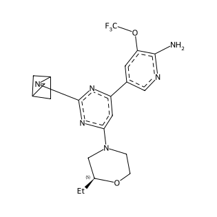 CC[C@H]1CN(c2cc(-c3cnc(N)c(OC(F)(F)F)c3)nc(N3CC4CC3C4)n2)CCO1